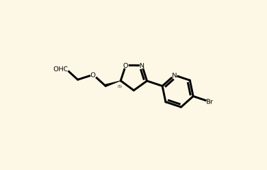 O=CCOC[C@@H]1CC(c2ccc(Br)cn2)=NO1